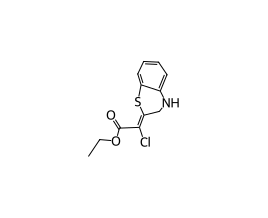 CCOC(=O)C(Cl)=C1CNc2ccccc2S1